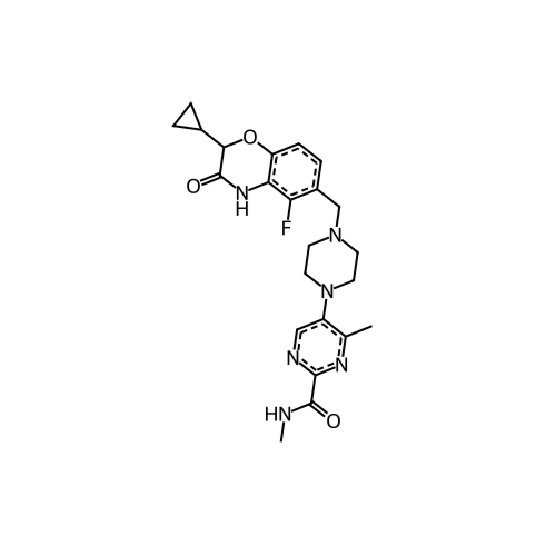 CNC(=O)c1ncc(N2CCN(Cc3ccc4c(c3F)NC(=O)C(C3CC3)O4)CC2)c(C)n1